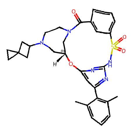 Cc1cccc(C)c1-c1cc2nc(n1)NS(=O)(=O)c1cccc(c1)C(=O)N1CCN(C3CC4(CC4)C3)C[C@H](C1)O2